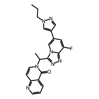 CCCn1cc(-c2cc(F)c3nnc(C(C)n4ccc5ncccc5c4=O)n3c2)cn1